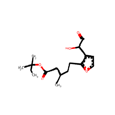 CC(CCc1occc1C(O)C=O)CC(=O)OC(C)(C)C